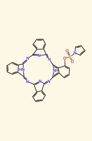 O=S(=O)(Oc1cccc2c3nc4nc(nc5[nH]c(nc6nc(nc([nH]3)c12)-c1ccccc1-6)c1ccccc51)-c1ccccc1-4)n1cccc1